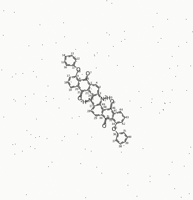 [2H]n1c2ccc3c(=O)c4c(Oc5ccccc5)cccc4c(=O)c3c2n([2H])c2ccc3c(=O)c4c(Oc5ccccc5)cccc4c(=O)c3c21